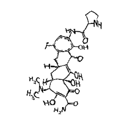 CN(C)[C@@H]1C(O)=C(C(N)=O)C(=O)[C@@]2(O)C(O)=C3C(=O)c4c(O)c(NC(=O)C5CCCN5)cc(F)c4C[C@H]3C[C@@H]12